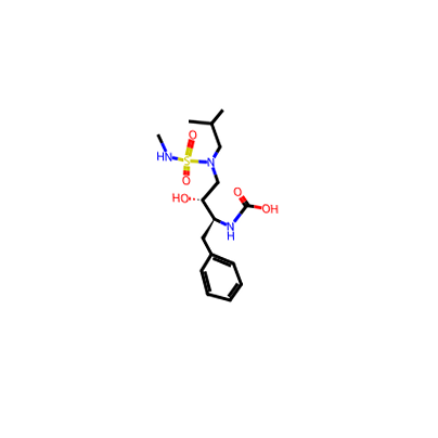 CNS(=O)(=O)N(CC(C)C)C[C@@H](O)[C@H](Cc1ccccc1)NC(=O)O